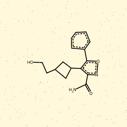 NC(=O)c1noc(-c2ccccc2)c1C1CC(CCO)C1